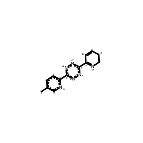 Cc1ccc(-c2nnc(C3=NCCC=C3)nn2)nc1